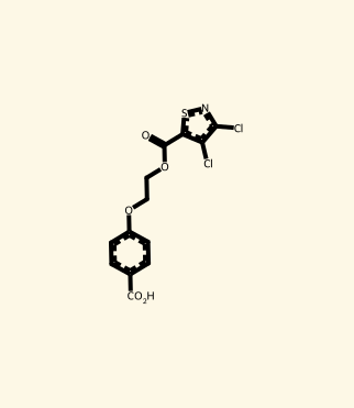 O=C(O)c1ccc(OCCOC(=O)c2snc(Cl)c2Cl)cc1